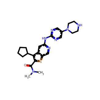 CN(C)C(=O)c1sc2cnc(Nc3ncc(N4CCNCC4)cn3)cc2c1C1CCCC1